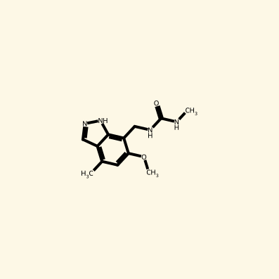 CNC(=O)NCc1c(OC)cc(C)c2cn[nH]c12